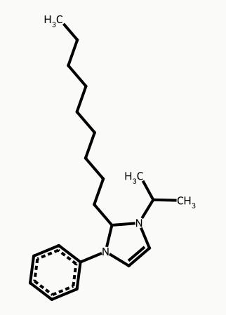 CCCCCCCCCC1N(c2ccccc2)C=CN1C(C)C